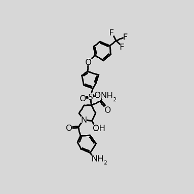 NC(=O)C1(S(=O)(=O)c2ccc(Oc3ccc(C(F)(F)F)cc3)cc2)CCN(C(=O)c2ccc(N)cc2)C(O)C1